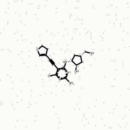 Nc1nc(Cl)c(C#CC2=COCC2)c(N[C@@H]2C[C@H](CO)C[C@H]2O)n1